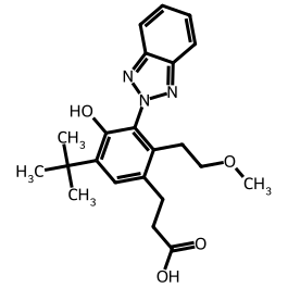 COCCc1c(CCC(=O)O)cc(C(C)(C)C)c(O)c1-n1nc2ccccc2n1